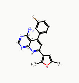 Cc1cc(-c2cc(-c3cccc(Br)c3)c3c(N)ncnc3n2)c(C)o1